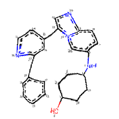 OC1CCC(Nc2ccc3ncc(-c4ccnc(-c5ccccc5)c4)n3c2)CC1